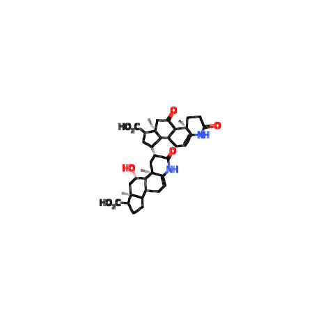 C[C@]12C[C@H](O)C3C(CC=C4NC(=O)[C@@H](C5CC(C(=O)O)[C@@]6(C)CC(=O)C7C(CC=C8NC(=O)CC[C@@]87C)C56)C[C@@]43C)C1CCC2C(=O)O